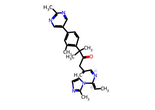 C=C(/C=N\C(=C/C)n1ccnc1C)CC(=O)C(C)(C)c1ccc(-c2cnc(C)nc2)cc1C